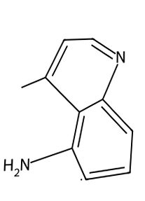 Cc1ccnc2cc[c]c(N)c12